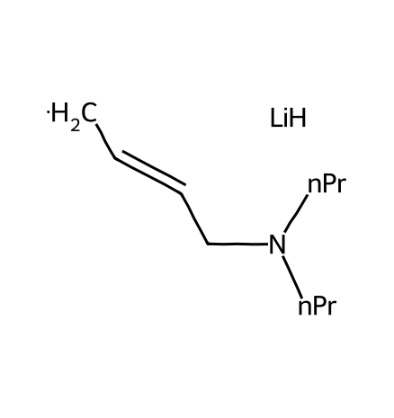 [CH2]C=CCN(CCC)CCC.[LiH]